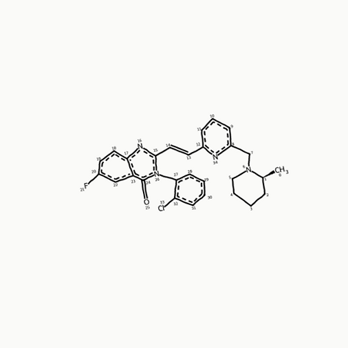 C[C@H]1CCCCN1Cc1cccc(/C=C/c2nc3ccc(F)cc3c(=O)n2-c2ccccc2Cl)n1